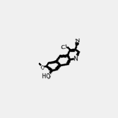 COc1cc2cc3c(Cl)c(C#N)cnc3cc2cc1O